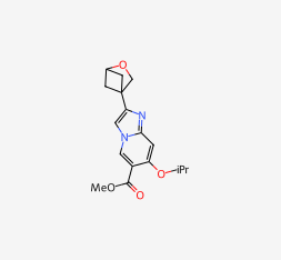 COC(=O)c1cn2cc(C34COC(C3)C4)nc2cc1OC(C)C